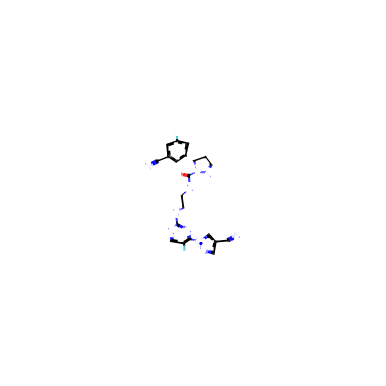 N#Cc1cc(F)cc([C@@H]2CC=NN2C(=O)NCCNc2ncc(F)c(-n3cc(C#N)cn3)n2)c1